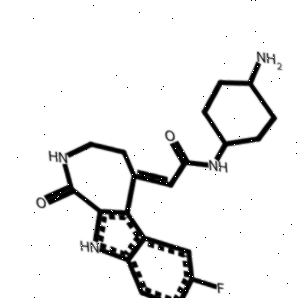 NC1CCC(NC(=O)C=C2CCNC(=O)c3[nH]c4ccc(F)cc4c32)CC1